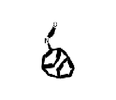 O=C=Nc1cc2ccc1-c1ccc(cc1)C2